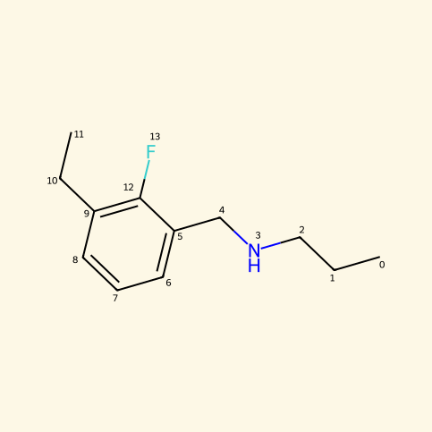 CCCNCc1cccc(CC)c1F